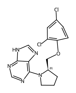 Clc1ccc(OC[C@H]2CCCN2c2ncnc3[nH]cnc23)c(Cl)c1